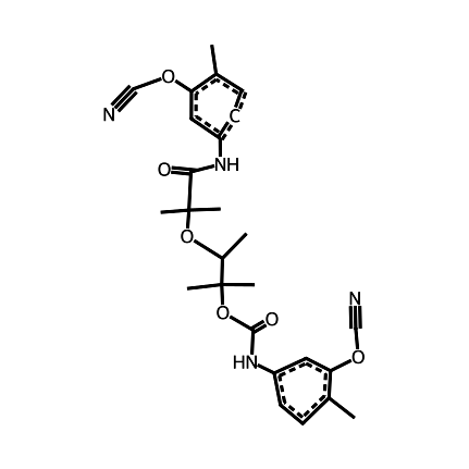 Cc1ccc(NC(=O)OC(C)(C)C(C)OC(C)(C)C(=O)Nc2ccc(C)c(OC#N)c2)cc1OC#N